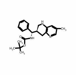 Cc1cnc2c(c1)NC[C@H]([C@H](NC(=O)OC(C)(C)C)c1ccccc1)C2